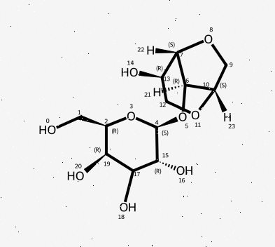 OC[C@H]1O[C@@H](O[C@H]2[C@H]3OC[C@@H]2OC[C@H]3O)[C@H](O)C(O)[C@H]1O